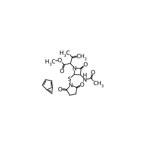 C=C(C)C(C(=O)OC)N1C(=O)C(NC(C)=O)C1SN1C(=O)CCC1=O.c1cc2cc-2c1